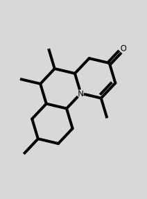 CC1=CC(=O)CC2C(C)C(C)C3CC(C)CCC3N12